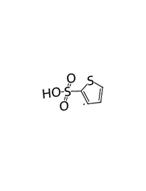 O=S(=O)(O)c1[c]ccs1